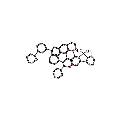 CC1(C)c2ccccc2-c2cccc(-c3ccccc3N(c3ccc(-c4cccc(-c5ccccc5)c4)cc3)c3cccc(-c4ccccc4)c3-c3ccccc3-c3ccccc3)c21